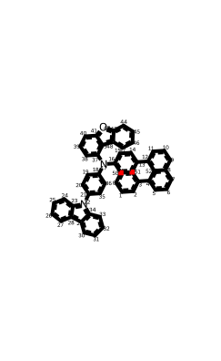 c1ccc(-c2cccc3cccc(-c4ccc(N(c5ccc(-n6c7ccccc7c7ccccc76)cc5)c5cccc6oc7ccccc7c56)cc4)c23)cc1